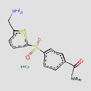 CNC(=O)c1ccc(S(=O)(=O)c2ccc(CN)s2)cc1.Cl